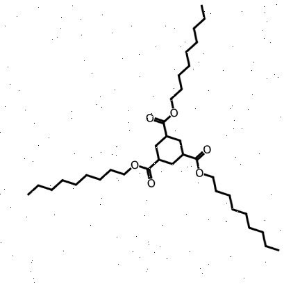 CCCCCCCCCOC(=O)C1CC(C(=O)OCCCCCCCCC)CC(C(=O)OCCCCCCCCC)C1